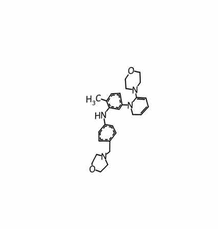 Cc1ccc(N2CC=CC=C2N2CCOCC2)cc1Nc1ccc(CN2CCOCC2)cc1